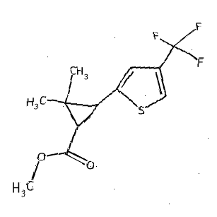 COC(=O)C1C(c2cc(C(F)(F)F)cs2)C1(C)C